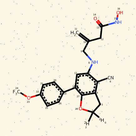 [2H]C1([2H])Cc2c(C#N)c(NCC(=C)CC(=O)NO)cc(-c3ccc(OC(F)(F)F)cc3)c2O1